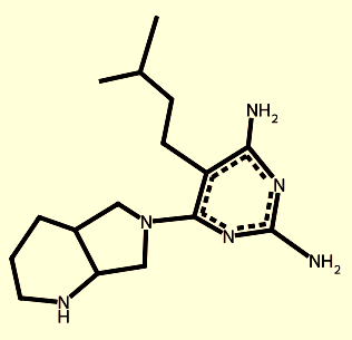 CC(C)CCc1c(N)nc(N)nc1N1CC2CCCNC2C1